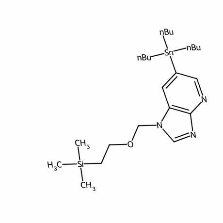 CCC[CH2][Sn]([CH2]CCC)([CH2]CCC)[c]1cnc2ncn(COCC[Si](C)(C)C)c2c1